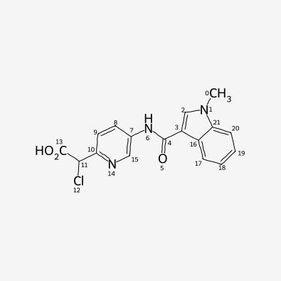 Cn1cc(C(=O)Nc2ccc(C(Cl)C(=O)O)nc2)c2ccccc21